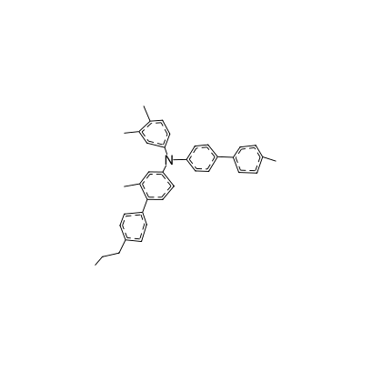 CCCc1ccc(-c2ccc(N(c3ccc(-c4ccc(C)cc4)cc3)c3ccc(C)c(C)c3)cc2C)cc1